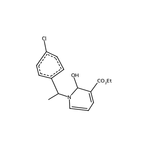 CCOC(=O)C1=CC=CN(C(C)c2ccc(Cl)cc2)C1O